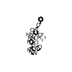 Cn1c(Nc2cc(C(F)(F)F)cn(CCOCc3ccccc3)c2=O)nc2ncc(Oc3cnn4ccnc(N5CCOCC5)c34)c(Cl)c21